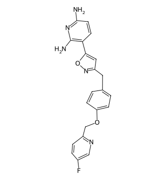 Nc1ccc(-c2cc(Cc3ccc(OCc4ccc(F)cn4)cc3)no2)c(N)n1